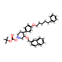 CC(C)(C)OC(=O)ON1CCC(c2ccc(OCCCCCc3ccccc3)cc2)C(OCc2ccc3ccccc3c2)C1